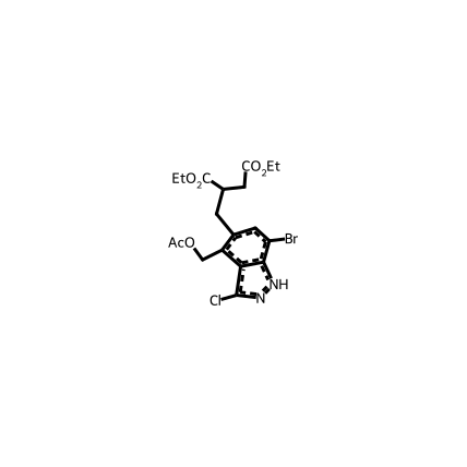 CCOC(=O)CC(Cc1cc(Br)c2[nH]nc(Cl)c2c1COC(C)=O)C(=O)OCC